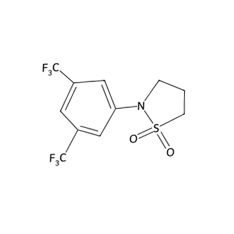 O=S1(=O)CCCN1c1cc(C(F)(F)F)cc(C(F)(F)F)c1